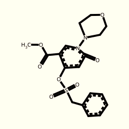 COC(=O)c1cn(N2CCOCC2)c(=O)cc1OS(=O)(=O)Cc1ccccc1